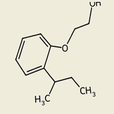 CCC(C)c1ccccc1OCCO